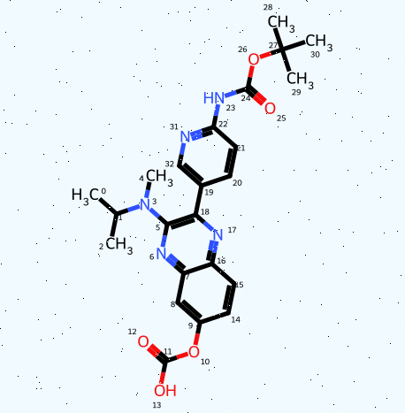 CC(C)N(C)c1nc2cc(OC(=O)O)ccc2nc1-c1ccc(NC(=O)OC(C)(C)C)nc1